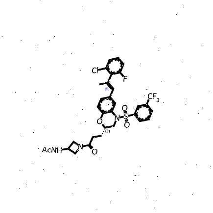 CC(=O)NC1CN(C(=O)CC[C@H]2CN(S(=O)(=O)c3cccc(C(F)(F)F)c3)c3cc(/C=C(\C)c4c(F)cccc4Cl)ccc3O2)C1